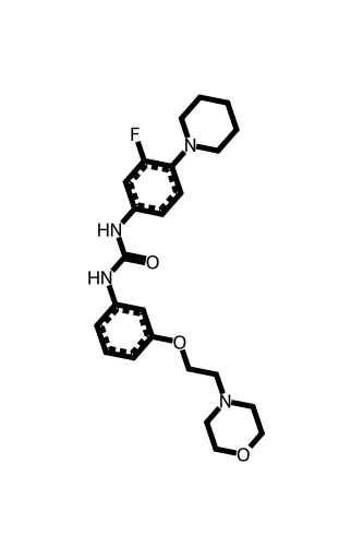 O=C(Nc1cccc(OCCN2CCOCC2)c1)Nc1ccc(N2CCCCC2)c(F)c1